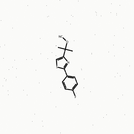 CC(C)(OC#N)c1csc(-c2ccc(F)cc2)n1